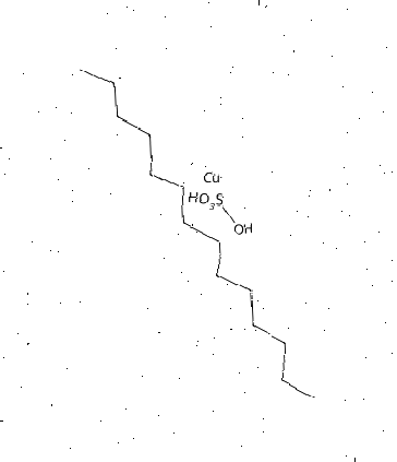 CCCCCCCCCCCCCC.O=S(=O)(O)O.[Cu]